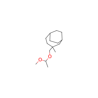 COC(C)OCC1(C)CCC2CCC(CC2)C1